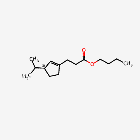 CCCCOC(=O)CCC1=C[C@H](C(C)C)CC1